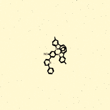 Cc1ccc2c(c1)c1ccccc1n2-c1cc(C#N)c(-c2cccc(-c3ccccc3)n2)cc1-n1c2ccccc2c2cc(C)ccc21